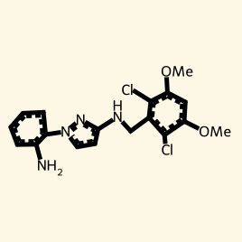 COc1cc(OC)c(Cl)c(CNc2ccn(-c3ccccc3N)n2)c1Cl